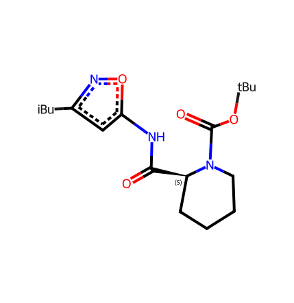 CCC(C)c1cc(NC(=O)[C@@H]2CCCCN2C(=O)OC(C)(C)C)on1